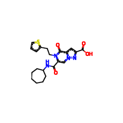 O=C(O)c1cc2c(=O)n(CCc3cccs3)c(C(=O)NC3CCCCCC3)cn2n1